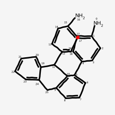 Nc1ccc(-c2cccc3c2C(c2ccc(N)cc2)c2ccccc2C3)cc1